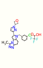 Cc1nnc2ccc3c(cc(-c4ccn(C5COC5)n4)n3Cc3cccc(Cl)c3)n12.O=C(O)C(F)(F)F